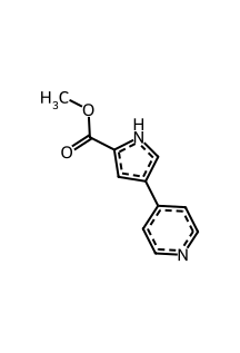 COC(=O)c1cc(-c2ccncc2)c[nH]1